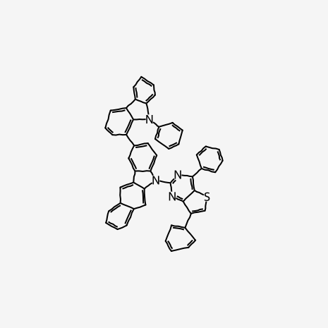 c1ccc(-c2csc3c(-c4ccccc4)nc(-n4c5ccc(-c6cccc7c8ccccc8n(-c8ccccc8)c67)cc5c5cc6ccccc6cc54)nc23)cc1